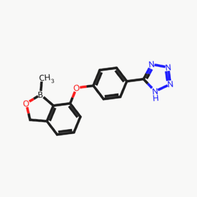 CB1OCc2cccc(Oc3ccc(-c4nnn[nH]4)cc3)c21